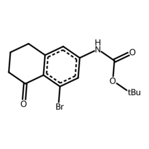 CC(C)(C)OC(=O)Nc1cc(Br)c2c(c1)CCCC2=O